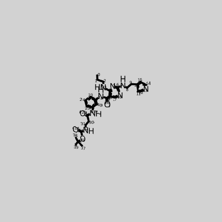 CCCNc1nc(NCCc2ccncc2)ncc1C(=O)Nc1cccc(NC(=O)CCNC(=O)OC(C)(C)C)c1